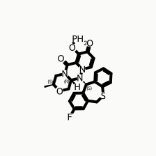 C[C@H]1CN2C(=O)c3c(OP)c(=O)ccn3N([C@H]3c4ccc(F)cc4CSc4ccccc43)[C@@H]2CO1